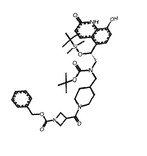 CC(C)(C)OC(=O)N(CC1CCN(C(=O)C2CN(C(=O)OCc3ccccc3)C2)CC1)C[C@H](O[Si](C)(C)C(C)(C)C)c1ccc(O)c2[nH]c(=O)ccc12